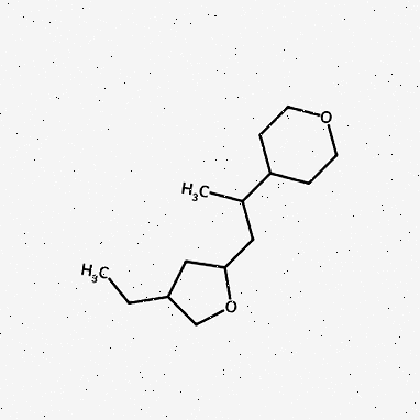 CCC1COC(CC(C)C2CCOCC2)C1